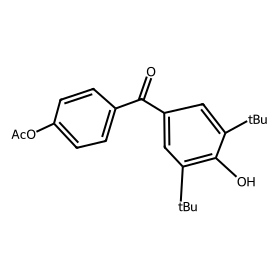 CC(=O)Oc1ccc(C(=O)c2cc(C(C)(C)C)c(O)c(C(C)(C)C)c2)cc1